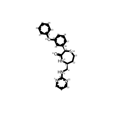 O=C1N[C@H](CNc2ncccn2)CCS[C@@H]1c1cccc(Oc2ccccc2)c1